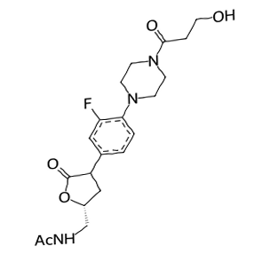 CC(=O)NC[C@H]1CC(c2ccc(N3CCN(C(=O)CCO)CC3)c(F)c2)C(=O)O1